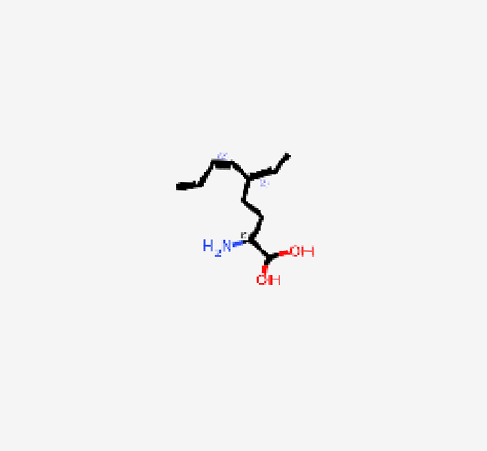 C=C/C=C\C(=C/C)CC[C@H](N)C(O)O